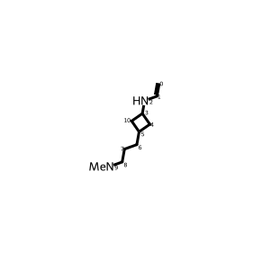 C=CNC1CC(CCCNC)C1